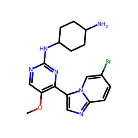 COc1cnc(NC2CCC(N)CC2)nc1-c1cnc2ccc(Br)cn12